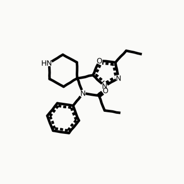 CCC(=O)N(c1ccccc1)C1(c2nnc(CC)o2)CCNCC1